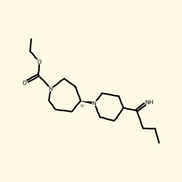 CCCC(=N)C1CCN([C@H]2CCCN(C(=O)OCC)CC2)CC1